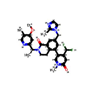 CCOc1cc([C@H](C)N2CCc3c(cc(Cn4ccnc4C)cc3-c3cn(C)c(=O)cc3C(F)F)C2=O)ncc1C#N